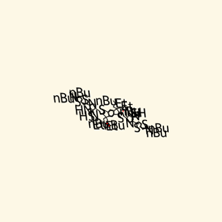 CCCCC(CC)CC1(CC(CC)CCCC)c2cc3c(cc2-c2sc(C4=CN=C(c5cc6sc(N(CCCC)CCCC)cc6s5)/C(=N/S)C4=N)cc21)C(CC(CC)CCCC)(CC(CC)CCCC)c1cc(C2=CN=C(c4cc5sc(N(CCCC)CCCC)cc5s4)C(=N)/C2=N\S)sc1-3